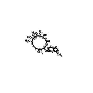 COC1/C=C(/C)CCC[C@H](C)[C@H](O)[C@@H](C)C(=O)C(C)[C@@H](O)CC(=O)O[C@@H]1/C(C)=C/c1csc(C)n1